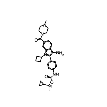 C[C@@H](OC(=O)Nc1ccc(-c2c(N)c3ccc(C(=O)N4CCN(C)CC4)cc3n2C2CCC2)cc1)C1CC1